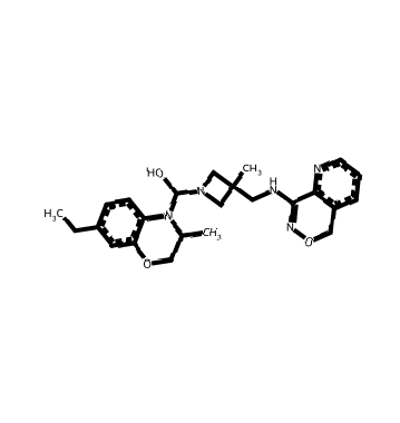 CCc1ccc2c(c1)OCC(C)N2C(O)N1CC(C)(CNC2=NOCc3cccnc32)C1